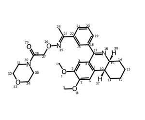 COc1cc2c(cc1OC)[C@H]1CCCC[C@H]1N=C2c1cccc(C(C)=NOCC(=O)N2CCOCC2)c1